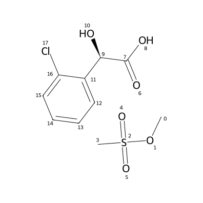 COS(C)(=O)=O.O=C(O)[C@H](O)c1ccccc1Cl